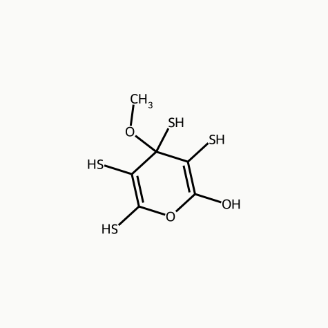 COC1(S)C(S)=C(O)OC(S)=C1S